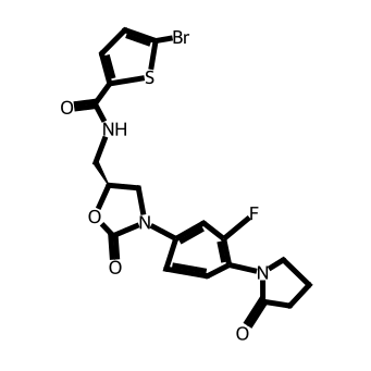 O=C(NC[C@H]1CN(c2ccc(N3CCCC3=O)c(F)c2)C(=O)O1)c1ccc(Br)s1